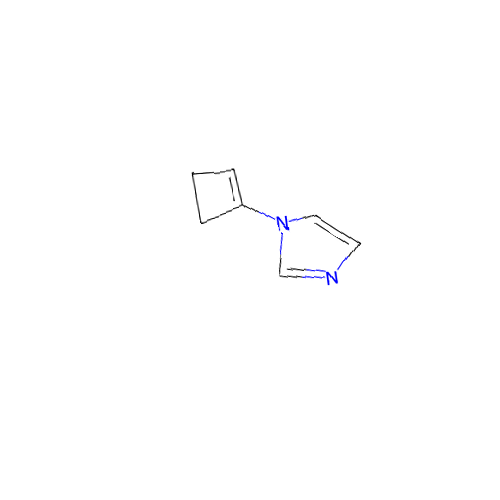 C1=C(n2ccnc2)CC1